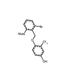 CNc1cccc(Br)c1COc1ccc(O)cc1C(F)(F)F